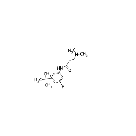 CN(C)CCC(=O)Nc1cc(F)cc(C(C)(C)C)c1